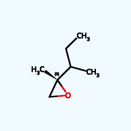 CCC(C)[C@]1(C)CO1